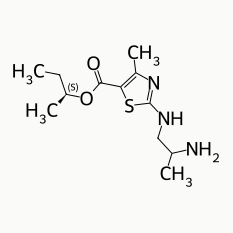 CC[C@H](C)OC(=O)c1sc(NCC(C)N)nc1C